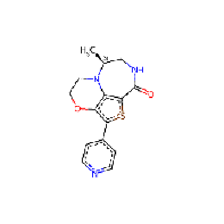 C[C@H]1CNC(=O)c2sc(-c3ccncc3)c3c2N1CCO3